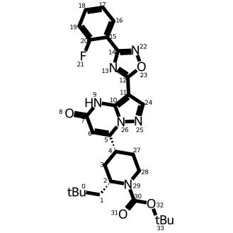 CC(C)(C)C[C@@H]1C[C@H](c2cc(=O)[nH]c3c(-c4nc(-c5ccccc5F)no4)cnn23)CCN1C(=O)OC(C)(C)C